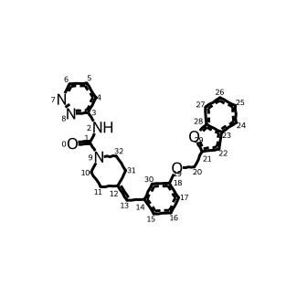 O=C(Nc1cccnn1)N1CCC(=Cc2cccc(OCc3cc4ccccc4o3)c2)CC1